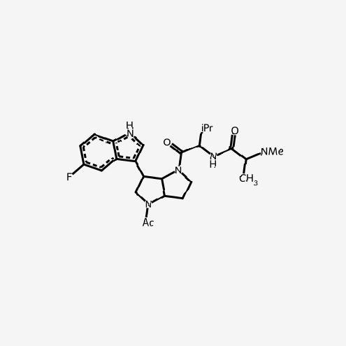 CNC(C)C(=O)NC(C(=O)N1CCC2C1C(c1c[nH]c3ccc(F)cc13)CN2C(C)=O)C(C)C